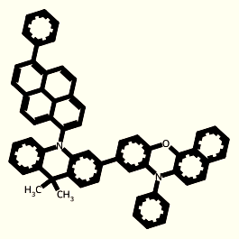 CC1(C)c2ccccc2N(C2=CC=C3C=CC4=C(c5ccccc5)C=CC5=CC=C2C3C54)c2cc(-c3ccc4c(c3)N(c3ccccc3)c3ccc5ccccc5c3O4)ccc21